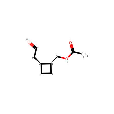 CC(=O)OC[C@@H]1CC[C@H]1CC=O